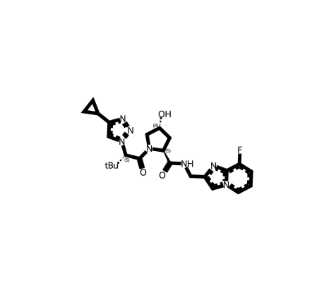 CC(C)(C)[C@@H](C(=O)N1C[C@H](O)C[C@H]1C(=O)NCc1cn2cccc(F)c2n1)n1cc(C2CC2)nn1